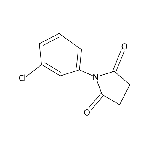 O=C1CCC(=O)N1c1cccc(Cl)c1